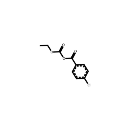 CCOC(=O)OC(=O)c1ccc(Cl)cc1